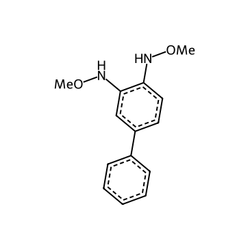 CONc1ccc(-c2ccccc2)cc1NOC